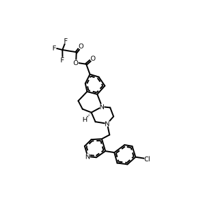 O=C(OC(=O)C(F)(F)F)c1ccc2c(c1)CC[C@@H]1CN(Cc3ccncc3-c3ccc(Cl)cc3)CCN21